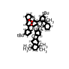 CC(C)(C)c1ccc(N2c3cc4c(sc5ccccc54)c4c3B(c3ccc5c(oc6cc7c(cc65)C(C)(C)CCC7(C)C)c32)N2c3c-4cc(C(C)(C)C)cc3C3(C)CCCCC23C)c(-c2ccccc2)c1